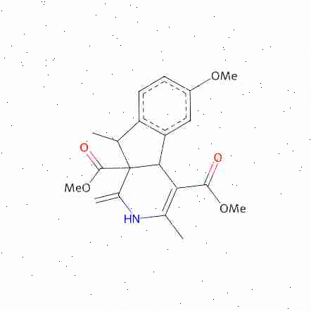 C=C1NC(C)=C(C(=O)OC)C2c3cc(OC)ccc3C(C)C12C(=O)OC